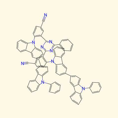 N#Cc1ccc(-n2c3ccccc3c3cc(-c4ccc5c(c4)c4ccccc4n5-c4ccccc4)ccc32)c(-c2nc(-c3ccccc3)nc(-c3cc(C#N)ccc3-n3c4ccccc4c4cc(-c5ccc6c(c5)c5ccccc5n6-c5ccccc5)ccc43)n2)c1